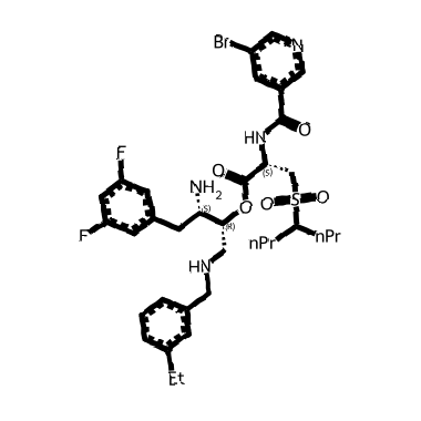 CCCC(CCC)S(=O)(=O)C[C@@H](NC(=O)c1cncc(Br)c1)C(=O)O[C@H](CNCc1cccc(CC)c1)[C@@H](N)Cc1cc(F)cc(F)c1